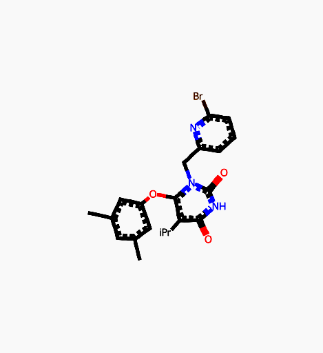 Cc1cc(C)cc(Oc2c(C(C)C)c(=O)[nH]c(=O)n2Cc2cccc(Br)n2)c1